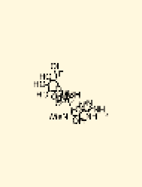 CN[C@H]1[C@@H](O)[C@]2(C=CNc3c(N)ncnc32)O[C@@H]1COP(=O)(S)OP(=O)(O)OC1OCC([C@@H](F)CO)C(O)C(O)C1O